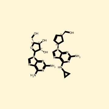 Nc1nc(N)c2ncn(C3O[C@H](CO)[C@@H](O)[C@@H]3O)c2n1.Nc1nc(NC2CC2)c2ncn([C@H]3C=C[C@@H](CO)C3)c2n1